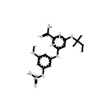 CCC(C)(C)Oc1cc(Oc2cc(OC)cc(O[PH](=O)O)c2)nc(C(=O)O)n1